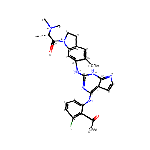 CNC(=O)c1c(F)cccc1Nc1nc(Nc2cc3c(cc2OC)CCN3C(=O)[C@H](C)N(C)C)[nH]c2nccc1-2